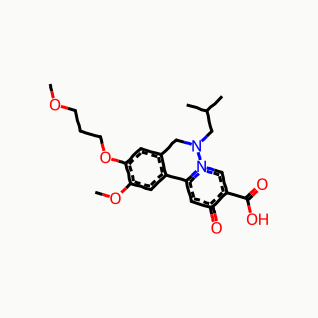 COCCCOc1cc2c(cc1OC)-c1cc(=O)c(C(=O)O)cn1N(CC(C)C)C2